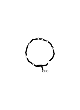 O=CC1=CCCCCCCCCCCCCCCCC1